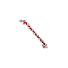 CC(C)(C)OC(=O)CCOCCOCCOCCOCCOCCOCCOCCC(=O)OC(C)(C)C